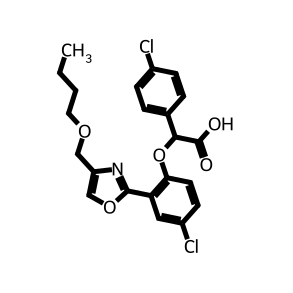 CCCCOCc1coc(-c2cc(Cl)ccc2OC(C(=O)O)c2ccc(Cl)cc2)n1